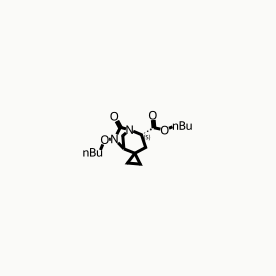 CCCCOC(=O)[C@@H]1CC2(CC2)C2CN1C(=O)N2OCCCC